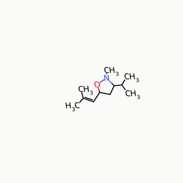 CC(C)=CC1CC(C(C)C)N(C)O1